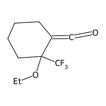 CCOC1(C(F)(F)F)CCCCC1=C=O